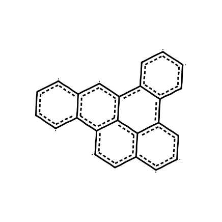 [c]1[c]cc2c(c1)c1[c]c3[c]cc[c]c3c3[c]cc4[c][c]cc2c4c31